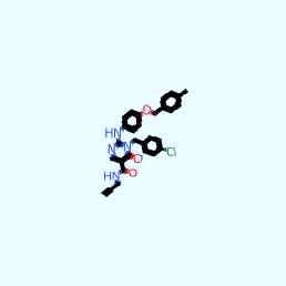 C#CCNC(=O)c1cnc(Nc2ccc(OCc3ccc(C)cc3)cc2)n(Cc2ccc(Cl)cc2)c1=O